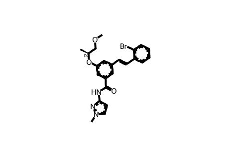 COC[C@H](C)Oc1cc(C=Cc2ccccc2Br)cc(C(=O)Nc2ccn(C)n2)c1